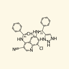 C[C@@H](Nc1c(C#N)cnc2c(Cl)cc(N[C@H](C3=CNNN3)c3ccccc3)cc12)c1ccccc1